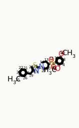 COc1ccc(OC)c(S(=O)(=O)C2CCN(c3nc(Cc4cccc(C)c4)cs3)CC2)c1